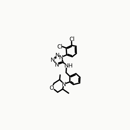 CC1COCC(C)N1c1ccccc1CNc1nnnn1-c1cccc(Cl)c1Cl